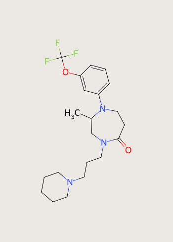 CC1CN(CCCN2CCCCC2)C(=O)CCN1c1cccc(OC(F)(F)F)c1